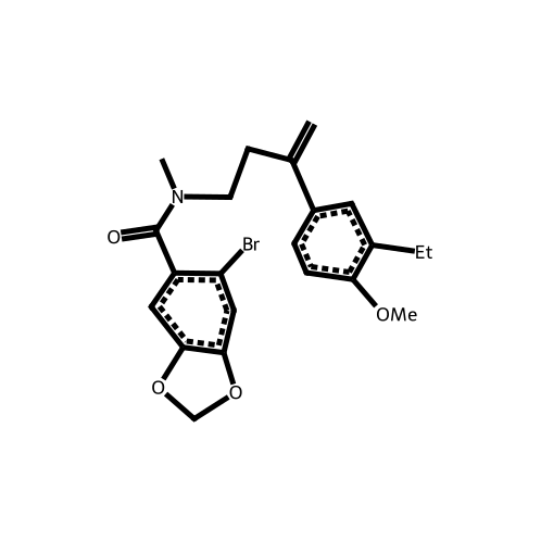 C=C(CCN(C)C(=O)c1cc2c(cc1Br)OCO2)c1ccc(OC)c(CC)c1